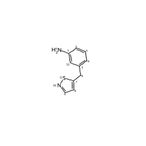 Nc1cccc(Cc2ccns2)c1